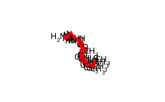 COC(=O)[C@@H](CCCN1C(=O)c2ccc(NC(=O)[C@H](C)NC(=O)[C@@H](NC(=O)OC(C)(C)C)C(C)C)cc2C1=O)c1ccc(C(=O)NNC(=O)Cc2cnc3nc(N)nc(N)c3n2)cc1